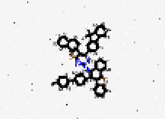 Cc1ccc(-c2ccc3c4c5c6ccccc6sc5c5ccccc5c4n(-c4nc(-c5ccc6c(c5)C(C)(C)c5ccccc5-6)c5c(n4)sc4c6ccccc6ccc45)c3c2)cc1